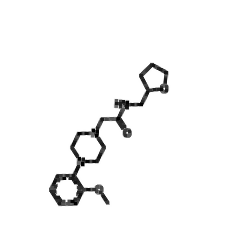 COc1ccccc1N1CCN(CC(=O)NCC2CCCO2)CC1